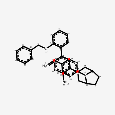 C=Cc1cnc(N2C3CCC2CN(c2cc(-c4ccccc4OCc4ccccc4)nnc2N)C3)nc1